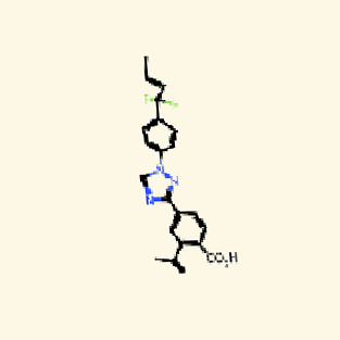 C=C(C)c1cc(-c2ncn(-c3ccc(C(F)(F)/C=C/C)cc3)n2)ccc1C(=O)O